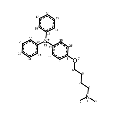 CN(C)CCCCOc1ccc([S+](c2ccccc2)c2ccccc2)cc1